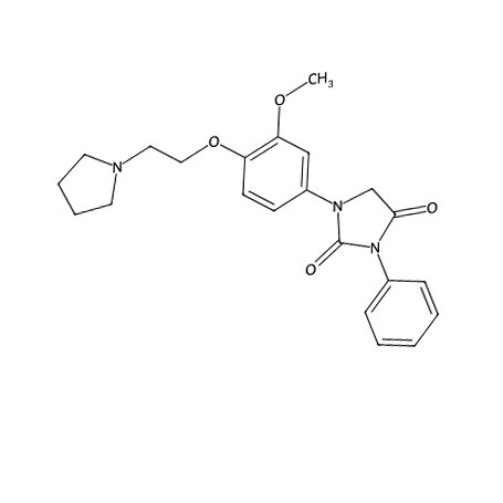 COc1cc(N2CC(=O)N(c3ccccc3)C2=O)ccc1OCCN1CCCC1